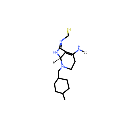 CCNC1=C2/C(=N\CS)N[C@@H]2N(CC2CCC(C)CC2)CC1